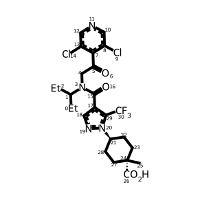 CCC(CC)N(CC(=O)c1c(Cl)cncc1Cl)C(=O)c1cnn([C@H]2CC[C@](C)(C(=O)O)CC2)c1C(F)(F)F